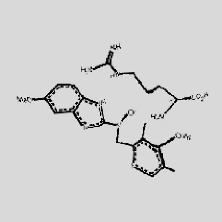 COc1ccc2[nH]c([S+]([O-])Cc3ncc(C)c(OC)c3C)nc2c1.N=C(N)NCCC[C@H](N)C(=O)O